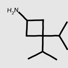 CC(C)C1(C(C)C)CC(N)C1